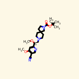 COc1cc([C@H](CN2CCC3(CC2)CCN(C(=O)OC(C)(C)C)C3)OC)ncc1C#N